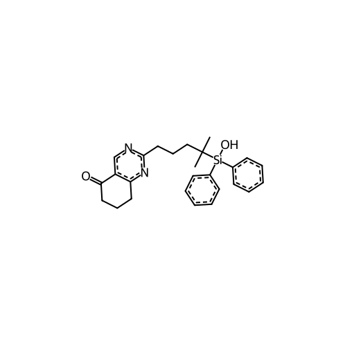 CC(C)(CCCc1ncc2c(n1)CCCC2=O)[Si](O)(c1ccccc1)c1ccccc1